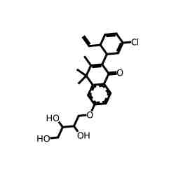 C=CC1C=CC(Cl)=CC1C1=C(C)C(C)(C)c2cc(OCC(O)C(O)CO)ccc2C1=O